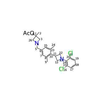 CC(=O)OC1(C)CN(Cc2cc(C)c(C3CN(c4c(Cl)cccc4Cl)C3)c(C)c2)C1